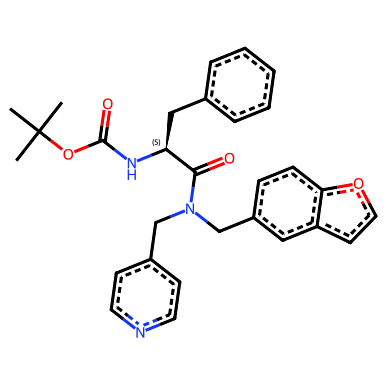 CC(C)(C)OC(=O)N[C@@H](Cc1ccccc1)C(=O)N(Cc1ccncc1)Cc1ccc2occc2c1